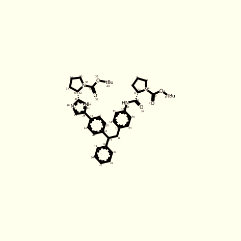 CC(C)(C)OC(=O)N1CCC[C@H]1C(=O)Nc1ccc(CC(c2ccccc2)c2ccc(-c3cnc([C@@H]4CCCN4C(=O)OC(C)(C)C)[nH]3)cc2)cc1